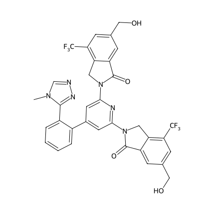 Cn1cnnc1-c1ccccc1-c1cc(N2Cc3c(cc(CO)cc3C(F)(F)F)C2=O)nc(N2Cc3c(cc(CO)cc3C(F)(F)F)C2=O)c1